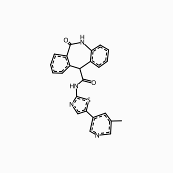 Cc1cncc(-c2cnc(NC(=O)C3c4ccccc4NC(=O)c4ccccc43)s2)c1